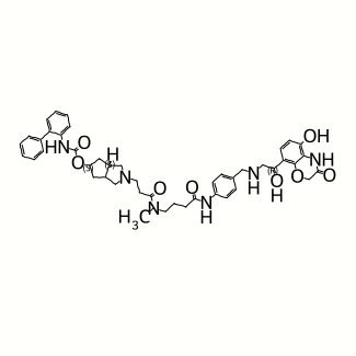 CN(CCCC(=O)Nc1ccc(CNC[C@H](O)c2ccc(O)c3c2OCC(=O)N3)cc1)C(=O)CCN1CC2C[C@H](OC(=O)Nc3ccccc3-c3ccccc3)C[C@@H]2C1